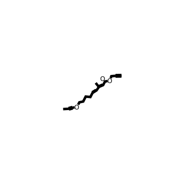 C#CCOC(=O)/C=C(C)/C=C/CCCCOC#CC